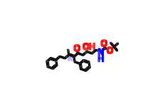 C/C(CCc1ccccc1)=C(/Cc1ccccc1)C(=O)CC(O)CCNC(=O)OC(C)(C)C